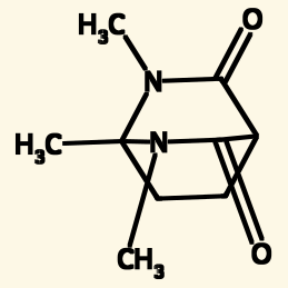 CN1C(=O)C2CCC1(C)N(C)C2=O